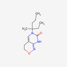 CCCC(C)(CC)N1C=C2CCON=C2NC1=O